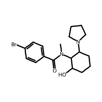 CN(C(=O)c1ccc(Br)cc1)C1C(O)CCCC1N1CCCC1